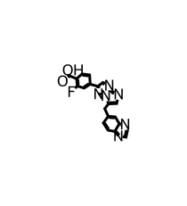 O=C(O)c1ccc(-c2cnc3ncc(Cc4ccc5nccnc5c4)n3n2)cc1F